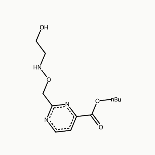 CCCCOC(=O)c1ccnc(CONCCO)n1